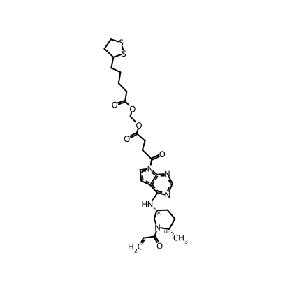 C=CC(=O)N1C[C@H](Nc2ncnc3c2ccn3C(=O)CCC(=O)OCOC(=O)CCCCC2CCSS2)CC[C@@H]1C